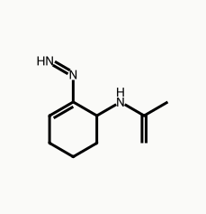 C=C(C)NC1CCCC=C1N=N